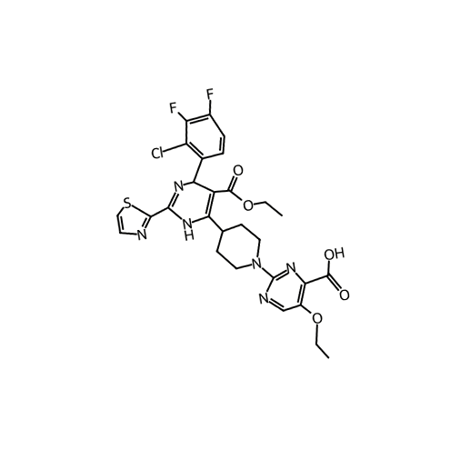 CCOC(=O)C1=C(C2CCN(c3ncc(OCC)c(C(=O)O)n3)CC2)NC(c2nccs2)=NC1c1ccc(F)c(F)c1Cl